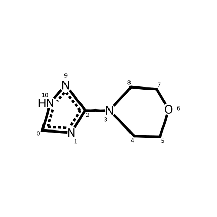 c1nc(N2CCOCC2)n[nH]1